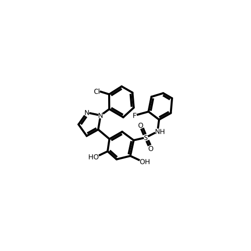 O=S(=O)(Nc1ccccc1F)c1cc(-c2ccnn2-c2ccccc2Cl)c(O)cc1O